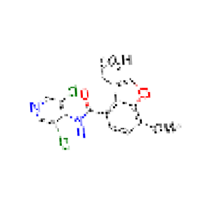 COc1ccc(C(=O)Nc2c(Cl)cncc2Cl)c2c(CC(=O)O)coc12